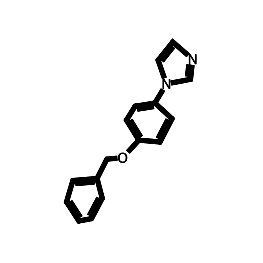 c1ccc(COc2ccc(-n3ccnc3)cc2)cc1